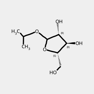 CC(C)OC1O[C@@H](CO)[C@H](O)[C@H]1O